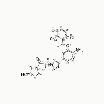 CC(Oc1cc(-c2cnn(C(C)(C)C(=O)N3CC[C@@H](O)C3)c2)cnc1N)c1c(Cl)ccc(F)c1Cl